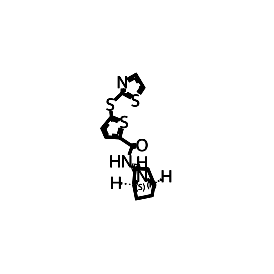 O=C(N[C@@H]1C[C@H]2CC[C@@H]1N2)c1ccc(Sc2nccs2)s1